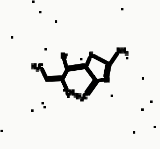 C=c1nc(N)s/c1=C(Br)/C(C)=C\C